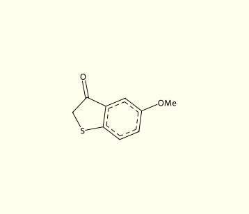 COc1ccc2c(c1)C(=O)CS2